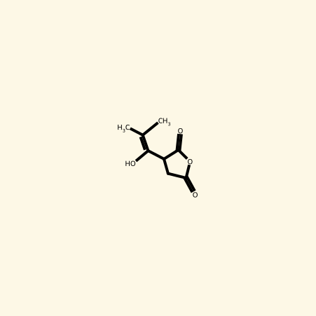 CC(C)=C(O)C1CC(=O)OC1=O